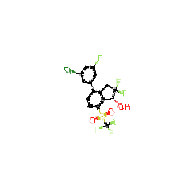 O=S(=O)(c1ccc(-c2cc(F)cc(Cl)c2)c2c1[C@H](O)C(F)(F)C2)C(F)(F)F